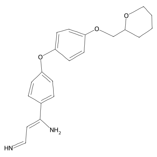 N=C/C=C(\N)c1ccc(Oc2ccc(OCC3CCCCO3)cc2)cc1